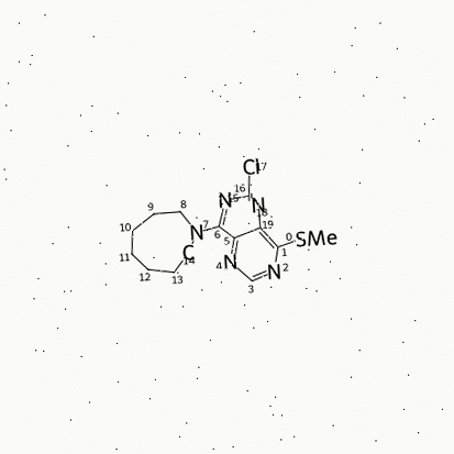 CSc1ncnc2c(N3CCCCCCC3)nc(Cl)nc12